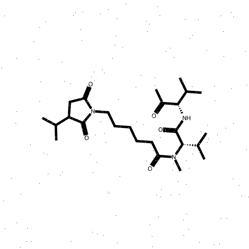 CC(=O)[C@@H](NC(=O)[C@H](C(C)C)N(C)C(=O)CCCCCN1C(=O)CC(C(C)C)C1=O)C(C)C